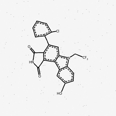 O=C1NC(=O)c2c1c(-c1ccccc1Cl)cc1c2c2cc(O)ccc2n1CC(F)(F)F